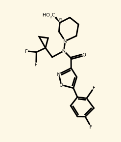 O=C(O)[C@H]1CCCN(N(CC2(C(F)F)CC2)C(=O)c2cc(-c3ccc(F)cc3F)on2)C1